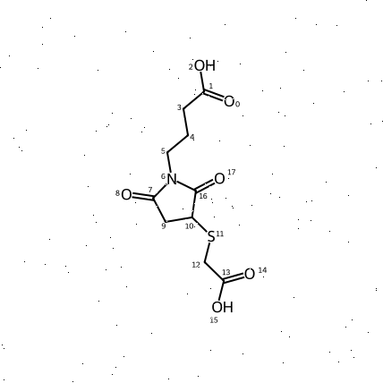 O=C(O)CCCN1C(=O)CC(SCC(=O)O)C1=O